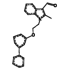 Cc1c(C=O)c2ccccc2n1CCOc1cccc(-c2ccccc2)c1